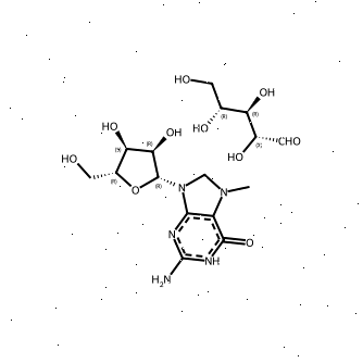 CN1CN([C@@H]2O[C@H](CO)[C@@H](O)[C@H]2O)c2nc(N)[nH]c(=O)c21.O=C[C@H](O)[C@H](O)[C@H](O)CO